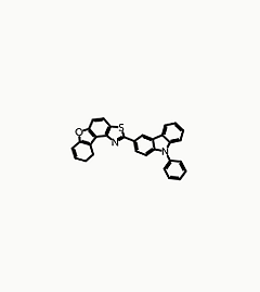 C1=Cc2oc3ccc4sc(-c5ccc6c(c5)c5ccccc5n6-c5ccccc5)nc4c3c2CC1